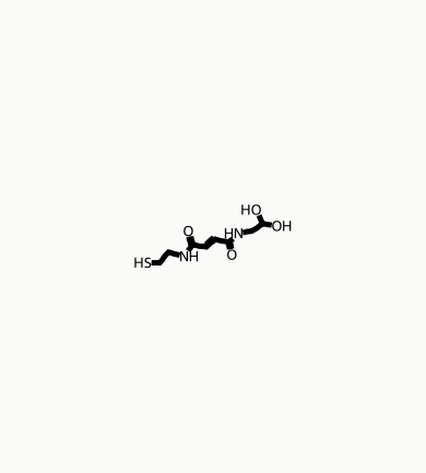 O=C(C=CC(=O)NCC(O)O)NCCS